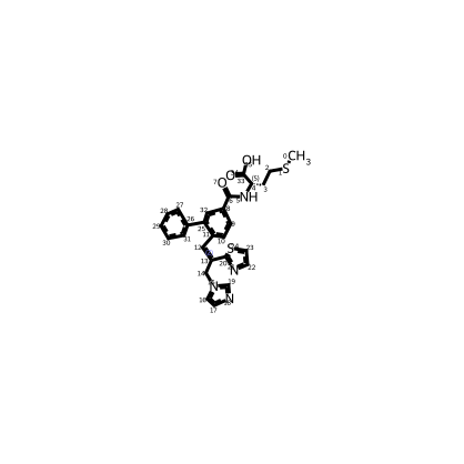 CSCC[C@H](NC(=O)c1ccc(/C=C(/Cn2ccnc2)c2nccs2)c(-c2ccccc2)c1)C(=O)O